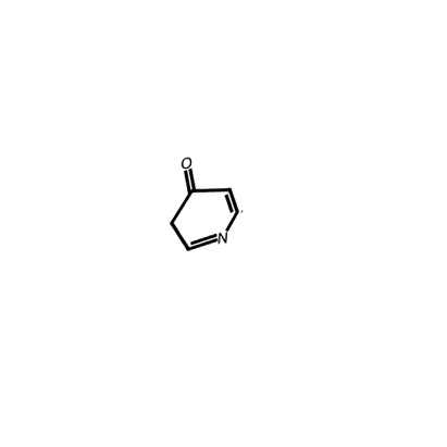 O=C1C=[C]N=CC1